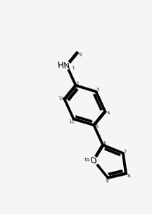 CNc1ccc(-c2ccco2)cc1